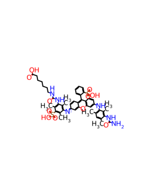 Cc1cc(C)c(Nc2ccc3c(-c4ccccc4S(=O)(=O)O)c4cc/c(=N\c5c(C)c(NC(=O)NCCCCCCC(=O)O)c(C)c(S(=O)(=O)O)c5C)cc-4oc3c2)c(C)c1NC(N)=O